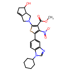 COC(=O)c1c(N2CC3=CCC(O)C3C2)sc(-c2ccc3c(c2)ncn3C2CCCCC2)c1[N+](=O)[O-]